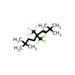 CC(C)(C)/C=C/C(CCC(C)(C)C)(C(F)(F)F)C(F)(F)F